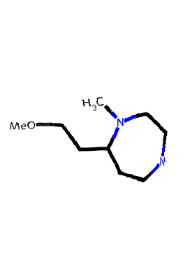 COCCC1CC[N]CCN1C